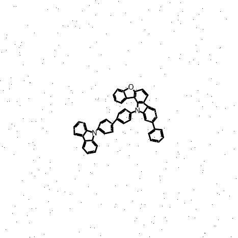 c1ccc(-c2ccc3c4ccc5oc6ccccc6c5c4n(-c4ccc(-c5ccc(-n6c7ccccc7c7ccccc76)cc5)cc4)c3c2)cc1